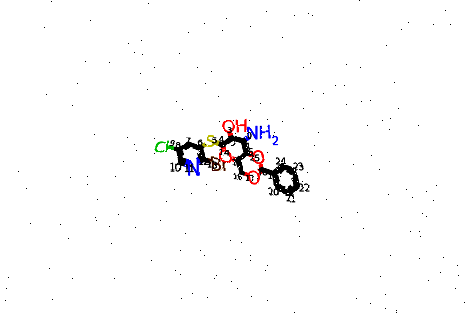 NC1C(O)C(Sc2cc(Cl)cnc2Br)OC2COC(c3ccccc3)OC21